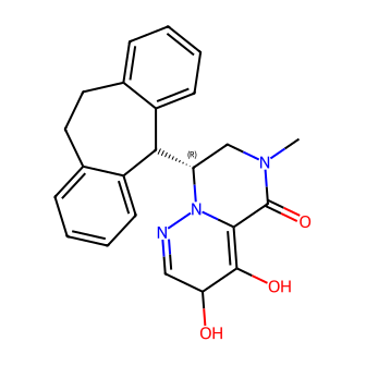 CN1C[C@@H](C2c3ccccc3CCc3ccccc32)N2N=CC(O)C(O)=C2C1=O